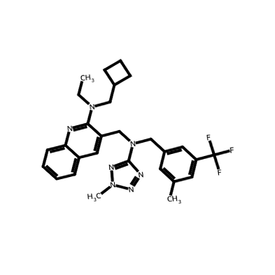 CCN(CC1CCC1)c1nc2ccccc2cc1CN(Cc1cc(C)cc(C(F)(F)F)c1)c1nnn(C)n1